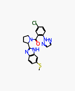 CSc1ccc2nc(C3CCCN3C(=O)c3cc(Cl)ccc3-n3nccn3)[nH]c2c1